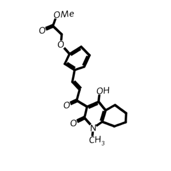 COC(=O)COc1cccc(/C=C/C(=O)c2c(O)c3c(n(C)c2=O)CCCC3)c1